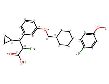 COc1ccc(F)c([C@H]2CC[C@H](COc3cccc(C(C4CC4)C(F)C(=O)O)c3)CC2)c1